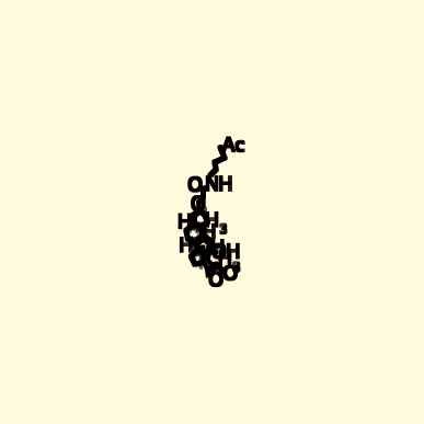 CC(=O)CCCCCNC(=O)CO[C@H]1CC[C@@]2(C)[C@H](CC[C@@H]3[C@@H]2C[C@@H](O)[C@]2(C)[C@@H](C4=CC(=O)OC4)CC[C@]32O)C1